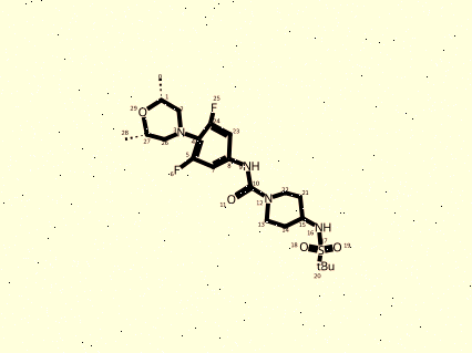 C[C@@H]1CN(c2c(F)cc(NC(=O)N3CCC(NS(=O)(=O)C(C)(C)C)CC3)cc2F)C[C@H](C)O1